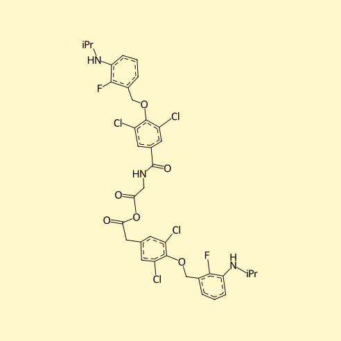 CC(C)Nc1cccc(COc2c(Cl)cc(CC(=O)OC(=O)CNC(=O)c3cc(Cl)c(OCc4cccc(NC(C)C)c4F)c(Cl)c3)cc2Cl)c1F